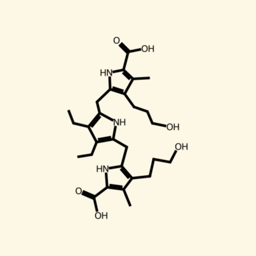 CCc1c(Cc2[nH]c(C(=O)O)c(C)c2CCCO)[nH]c(Cc2[nH]c(C(=O)O)c(C)c2CCCO)c1CC